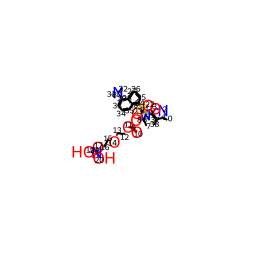 Cc1noc(N(C(C)OC(=O)OCCOCCON(O)O)S(=O)(=O)c2cccc3c(N(C)C)cccc23)c1C